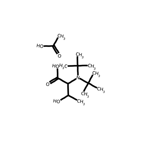 CC(=O)O.CC(O)C(C(=O)O)N(C(C)(C)C)C(C)(C)C